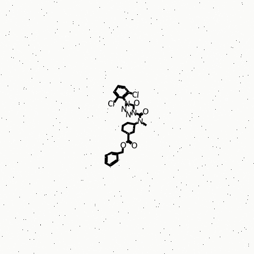 CN(C(=O)n1nnn(-c2c(Cl)cccc2Cl)c1=O)C1CCCC(C(=O)OCc2ccccc2)C1